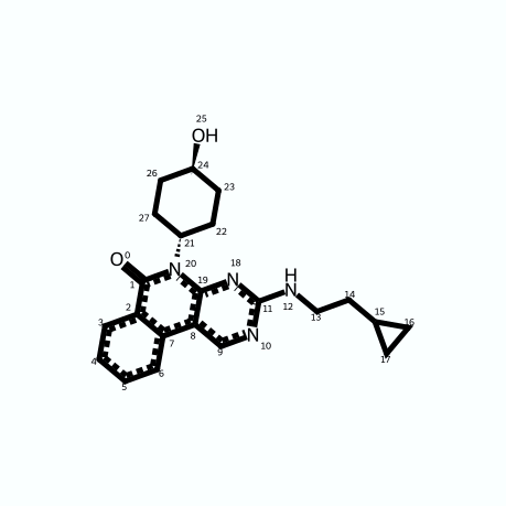 O=c1c2ccccc2c2cnc(NCCC3CC3)nc2n1[C@H]1CC[C@H](O)CC1